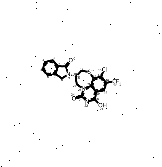 O=C1c2ccccc2CN1[C@@H]1CSc2c(Cl)c(C(F)(F)F)cc3c(O)nc(=O)n(c23)C1